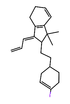 C=C/C=C1/C2=C(C=CCC2)C(C)(C)C1CCC1CC=C(I)CC1